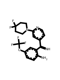 N=C(c1ccnc(N2CCC(F)(F)CC2)c1)c1cc(OC(F)(F)F)ccc1N